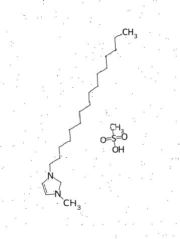 CCCCCCCCCCCCCCCCN1C=CN(C)C1.CS(=O)(=O)O